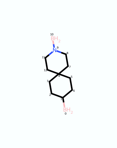 BC1CCC2(CC1)CCN(B)CC2